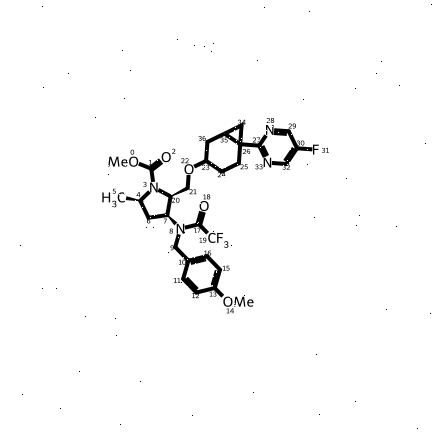 COC(=O)N1[C@H](C)C[C@H](N(Cc2ccc(OC)cc2)C(=O)C(F)(F)F)[C@@H]1COC1CCC2(c3ncc(F)cn3)CC2C1